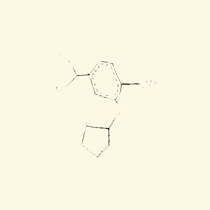 CCC(C#N)c1ccc(OC)c(OC2CCCC2)c1